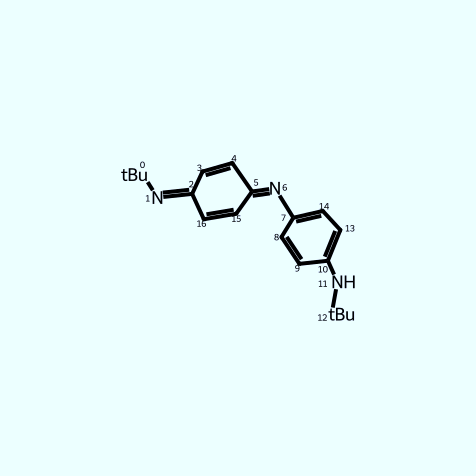 CC(C)(C)N=C1C=CC(=Nc2ccc(NC(C)(C)C)cc2)C=C1